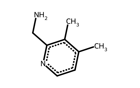 Cc1ccnc(CN)c1C